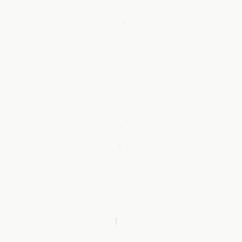 ICCCCCCCCCCCCCCC=CCCOCOCOCCC=CCCCCCCCCCCCCCCI